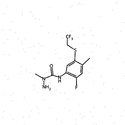 Cc1cc(F)c(NC(=O)N(C)N)cc1SCC(F)(F)F